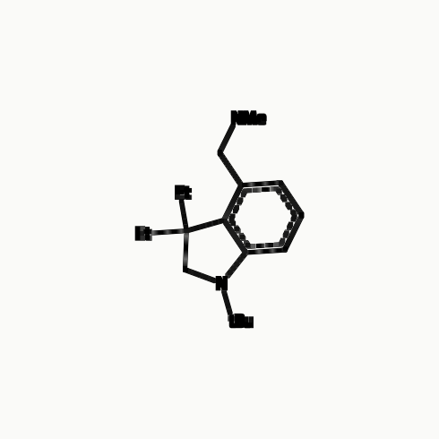 CCC1(CC)CN(C(C)(C)C)c2cccc(CNC)c21